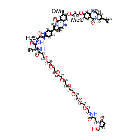 COc1cc2c(cc1OCCCOc1cc3c(cc1OC)C(=O)N1C=C(C4CC4)C[C@H]1C=N3)N=C[C@@H]1CC(c3ccc(NC(=O)[C@H](C)NC(=O)[C@@H](NC(=O)CCOCCOCCOCCOCCOCCOCCOCCOCCNC(=O)CCN4C(=O)C=CC4O)C(C)C)cc3)=CN1C2=O